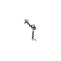 CCCCCCCSC1CC[C@H](O)C1CCCCCCC(=O)O